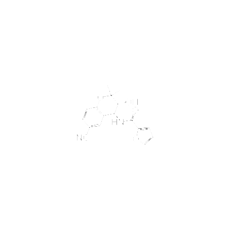 CC1(C)Oc2ccc(C#N)cc2[C@H](NC(=O)c2ccco2)[C@H]1O